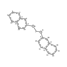 c1ccc2cc(OCOc3ccc4ccccc4c3)ccc2c1